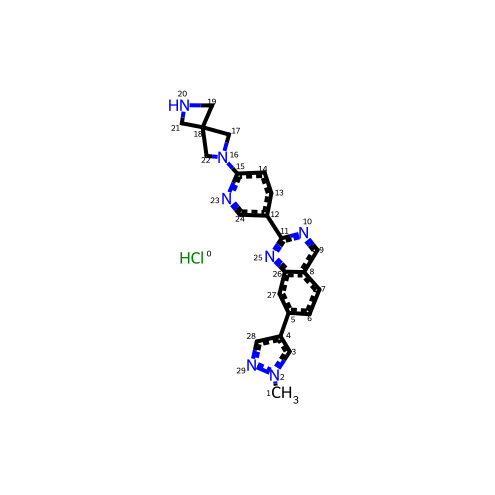 Cl.Cn1cc(-c2ccc3cnc(-c4ccc(N5CC6(CNC6)C5)nc4)nc3c2)cn1